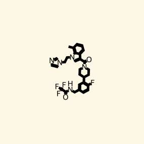 Cc1cccc2c(C(=O)N3CCC(c4cc(CNC(=O)C(F)(F)F)ccc4F)CC3)cn(CCn3ccnc3)c12